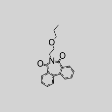 CCCOCCn1c(=O)c2ccccc2c2ccccc2c1=O